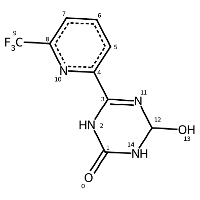 O=C1NC(c2cccc(C(F)(F)F)n2)=NC(O)N1